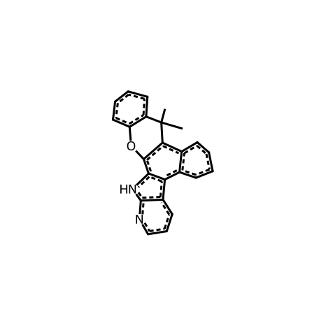 CC1(C)c2ccccc2Oc2c1c1ccccc1c1c2[nH]c2ncccc21